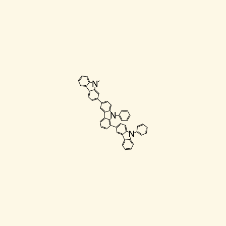 Cn1c2ccccc2c2ccc(-c3ccc4c(c3)c3cccc(-c5ccc6c(c5)c5ccccc5n6-c5ccccc5)c3n4-c3ccccc3)cc21